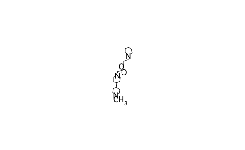 CN1CCC(C2CCN(CC(=O)OCCCN3CCCCC3)CC2)CC1